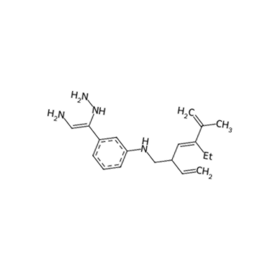 C=CC(/C=C(\CC)C(=C)C)CNc1cccc(/C(=C/N)NN)c1